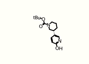 CC(C)(C)OC(=O)N1CCC[C@H](c2ccc(O)nc2)C1